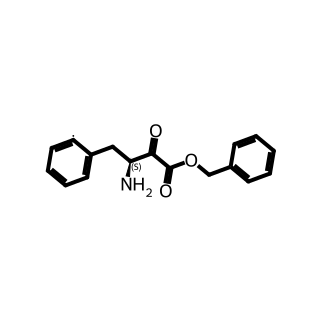 N[C@@H](Cc1[c]cccc1)C(=O)C(=O)OCc1ccccc1